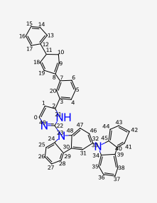 C1=CC(c2cccc(C3=CCC(c4ccccc4)C=C3)c2)NC(n2c3ccccc3c3cc(-n4c5ccccc5c5ccccc54)ccc32)=N1